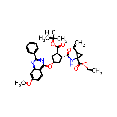 C=CC1CC1(NC(=O)[C@@H]1C[C@@H](Oc2nc(-c3ccccc3)nc3cc(OC)ccc23)C[C@H]1C(=O)OC(C)(C)C)C(=O)OCC